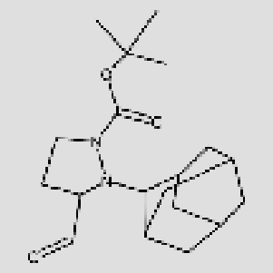 CC(C)(C)OC(=O)N1CCC(C=O)N1C1C2CC3CC(C2)CC1C3